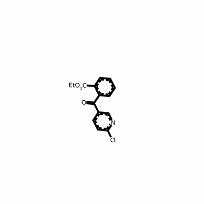 CCOC(=O)c1ccccc1C(=O)c1ccc(Cl)nc1